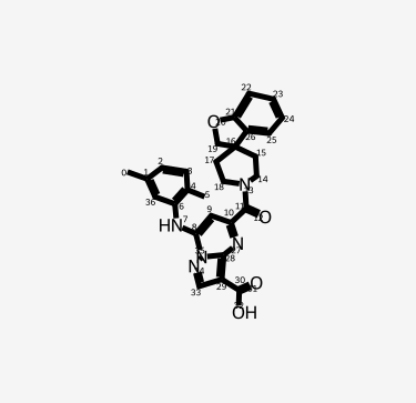 Cc1ccc(C)c(Nc2cc(C(=O)N3CCC4(CC3)COc3ccccc34)nc3c(C(=O)O)cnn23)c1